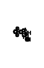 COc1cccc(OC)c1-c1ccc2c(c1)CC(C)(C)C2NC(=O)O[C@H]1CN2CCC1CC2